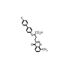 Cc1cccc2c(=O)n(CCC(Sc3ccc(-c4ccc(F)cc4)cc3)C(=O)O)nnc12